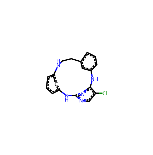 Clc1cnc2nc1Nc1cccc(c1)CCNc1cccc(c1)N2